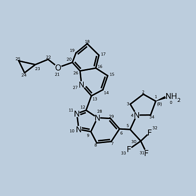 N[C@@H]1CCN(C(c2ccc3nnc(-c4ccc5cccc(OCC6CC6)c5n4)n3c2)C(F)(F)F)C1